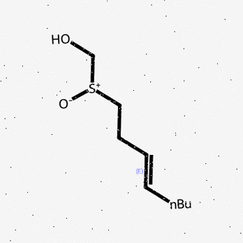 CCCC/C=C/CC[S+]([O-])CO